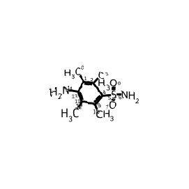 Cc1c(C)c(S(N)(=O)=O)c(C)c(C)c1N